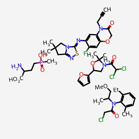 C#CCN1C(=O)COc2cc(F)c(/N=c3\snc4n3CC(C)(C)C4)cc21.CC1(C)OC(c2ccco2)CN1C(=O)C(Cl)Cl.CCc1cccc(C)c1N(C(=O)CCl)C(C)COC.CP(=O)(O)CCC(N)C(=O)O